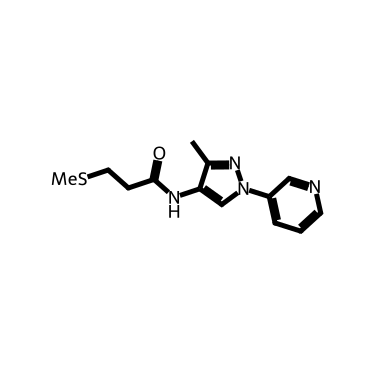 CSCCC(=O)Nc1cn(-c2cccnc2)nc1C